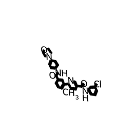 Cc1ccc(C(=O)Nc2ccc(N3CCOCC3)cc2)cc1-c1ccc(C(=O)Nc2cccc(Cl)c2)cn1